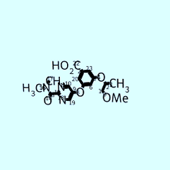 COCC(C)Oc1cc(Oc2cnc(C(=O)N(C)C)nc2)cc(C(=O)O)c1